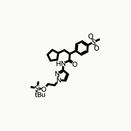 CC(C)(C)[Si](C)(C)OCCn1ccc(NC(=O)C(CC2CCCC2)c2ccc(S(C)(=O)=O)cc2)n1